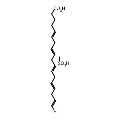 CCC=CCC=CCC=CCC=CCC=CCCCC(=O)O.CS(=O)(=O)O